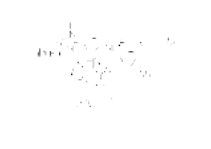 CCCCOC(=O)N=C(N)c1ccc(N[C@H](c2cc(OC)cc(OCCOC(C)=O)c2F)C2N=C(OC(C)(C)OC(=O)OCCF)N(c3ncccn3)N2)cc1